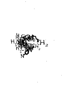 C=CCCC1C[C@H]1OC(=O)N[C@H](C(=O)N1C[C@H](Oc2nc3cc(C#N)ccc3nc2C(F)(F)C=C)[C@@H](CC)[C@H]1C(=O)OC(C)(C)C)C(C)(C)C